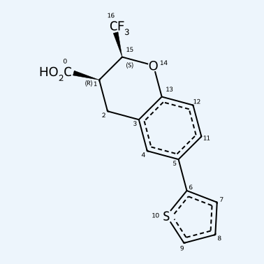 O=C(O)[C@@H]1Cc2cc(-c3cccs3)ccc2O[C@@H]1C(F)(F)F